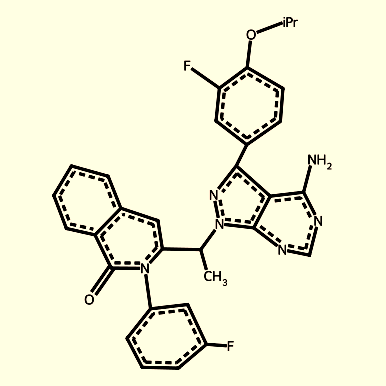 CC(C)Oc1ccc(-c2nn(C(C)c3cc4ccccc4c(=O)n3-c3cccc(F)c3)c3ncnc(N)c23)cc1F